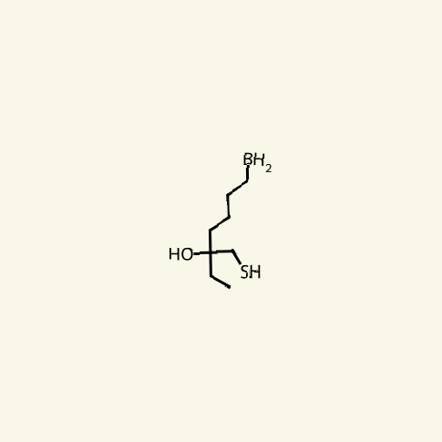 BCCCCC(O)(CC)CS